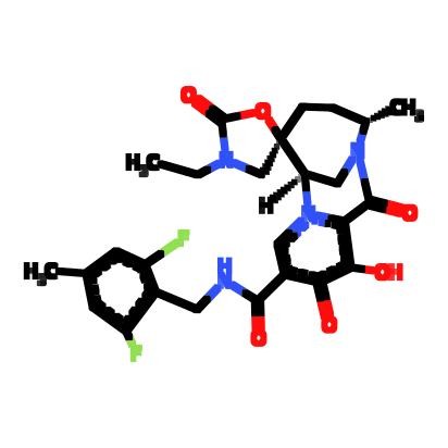 CCN1C[C@@]2(CC[C@H](C)N3C[C@H]2n2cc(C(=O)NCc4c(F)cc(C)cc4F)c(=O)c(O)c2C3=O)OC1=O